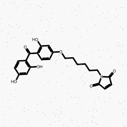 O=C(c1ccc(O)cc1O)c1ccc(OCCCCCCN2C(=O)C=CC2=O)cc1O